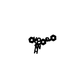 Oc1cc(OCc2ccccc2)ccc1-c1n[nH]cc1Oc1ccccc1